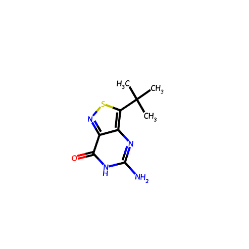 CC(C)(C)c1snc2c(=O)[nH]c(N)nc12